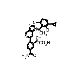 C[C@H](C(=O)O)c1cc(C(N)=O)ccc1-c1cc2c(cn1)ncn2[C@H](C)c1c(Cl)ccc(C2CC2)c1Cl